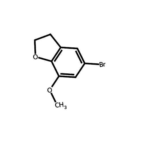 COc1cc(Br)cc2c1OCC2